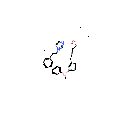 CB(c1ccccc1)c1cccc(CCCCBr)c1.c1ccc(CCn2ccnc2)cc1